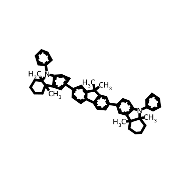 CC1(C)c2cc(-c3ccc4c(c3)C3(C)CCCCC3(C)N4c3ccccc3)ccc2-c2ccc(-c3ccc4c(c3)C3(C)CCCCC3(C)N4c3ccccc3)cc21